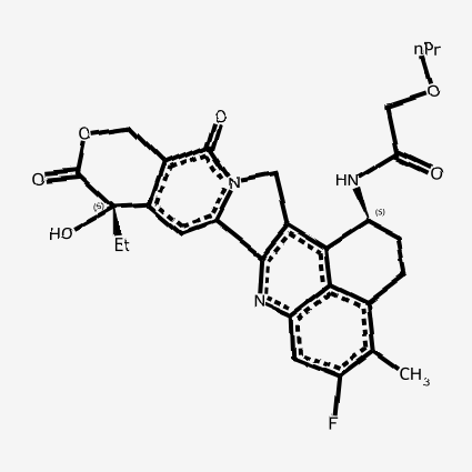 CCCOCC(=O)N[C@H]1CCc2c(C)c(F)cc3nc4c(c1c23)Cn1c-4cc2c(c1=O)COC(=O)[C@]2(O)CC